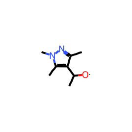 Cc1nn(C)c(C)c1C(C)[O]